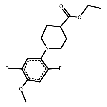 CCOC(=O)C1CCN(c2cc(F)c(OC)cc2F)CC1